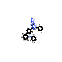 Nc1nc(-c2ccccc2)nc(-c2ccc3c4ccccc4n(-c4ccccc4)c3c2)n1